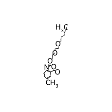 CCCCCCOCCOCCOc1nc2ccc(C)cc2c(=O)o1